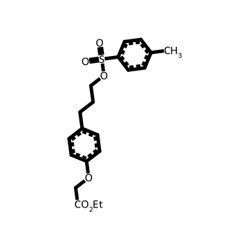 CCOC(=O)COc1ccc(CCCOS(=O)(=O)c2ccc(C)cc2)cc1